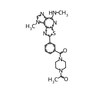 CNc1nc2sc(-c3cccc(C(=O)N4CCN(C(C)=O)CC4)c3)nc2c2c1ncn2C